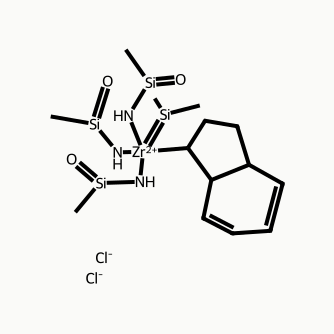 C[Si](=O)[NH][Zr+2]([NH][Si](C)=O)([NH][Si](C)=O)([CH]1CCC2C=CC=CC21)=[Si](C)C.[Cl-].[Cl-]